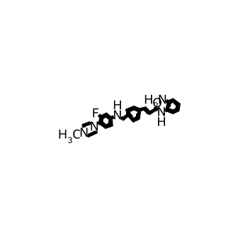 CN1CCN(c2ccc(NCc3ccc(C=CC(=O)Nc4ccccc4N)cc3)cc2F)CC1